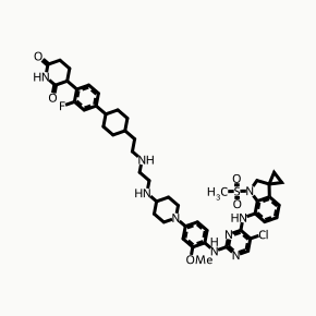 COc1cc(N2CCC(NCCNCCC3CCC(c4ccc(C5CCC(=O)NC5=O)c(F)c4)CC3)CC2)ccc1Nc1ncc(Cl)c(Nc2cccc3c2N(S(C)(=O)=O)CC32CC2)n1